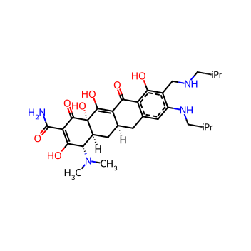 CC(C)CNCc1c(NCC(C)C)cc2c(c1O)C(=O)C1=C(O)[C@]3(O)C(=O)C(C(N)=O)=C(O)[C@@H](N(C)C)[C@@H]3C[C@@H]1C2